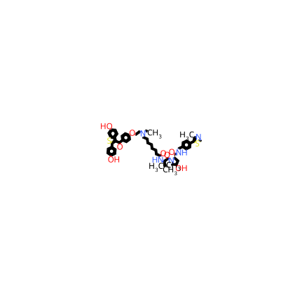 CCN(CCCCCCCC(=O)NC(C(=O)N1C[C@H](O)C[C@H]1C(=O)NCc1ccc(-c2scnc2C)cc1)C(C)(C)C)CCOc1ccc(C(=O)c2c(-c3ccc(O)cc3)sc3cc(O)ccc23)cc1